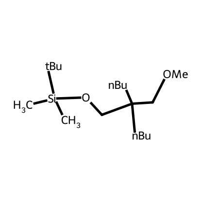 CCCCC(CCCC)(COC)CO[Si](C)(C)C(C)(C)C